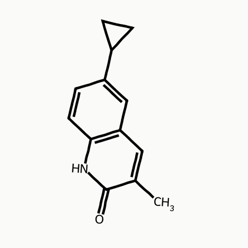 Cc1cc2cc(C3CC3)ccc2[nH]c1=O